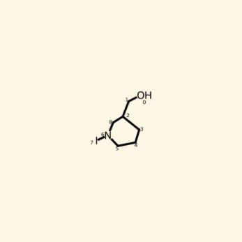 OCC1CCCN(I)C1